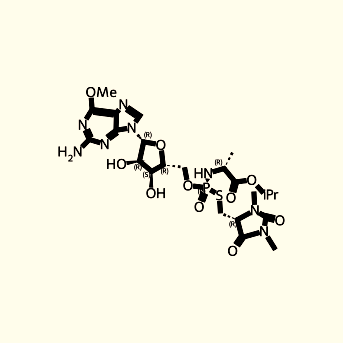 COc1nc(N)nc2c1ncn2[C@@H]1O[C@H](CO[P@](=O)(N[C@H](C)C(=O)OC(C)C)SC[C@H]2C(=O)N(C)C(=O)N2C)[C@@H](O)[C@H]1O